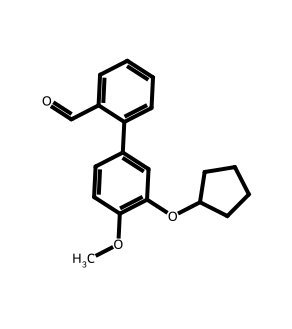 COc1ccc(-c2ccccc2C=O)cc1OC1CCCC1